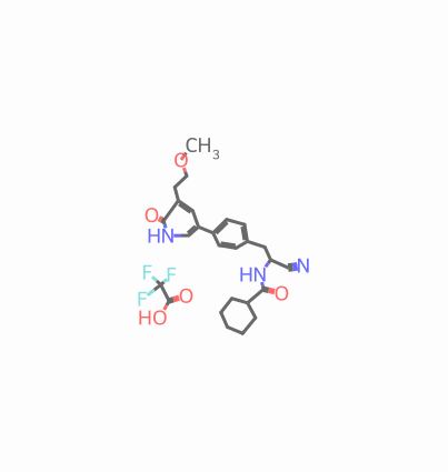 COCCc1cc(-c2ccc(CC(C#N)NC(=O)C3CCCCC3)cc2)c[nH]c1=O.O=C(O)C(F)(F)F